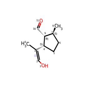 C/C(=C/O)[C@H]1CC[C@H](C)[C@H]1C=O